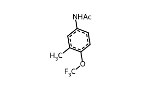 CC(=O)Nc1ccc(OC(F)(F)F)c(C)c1